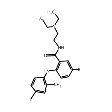 CCN(CC)CCNC(=O)c1cc(Br)ccc1Nc1ccc(I)cc1C